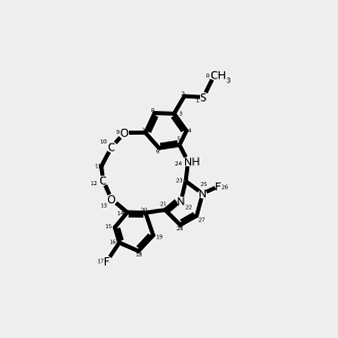 CSCc1cc2cc(c1)OCCCOc1cc(F)ccc1C1=NC(N2)N(F)C=C1